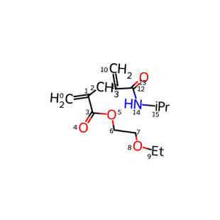 C=C(C)C(=O)OCCOCC.C=CC(=O)NC(C)C